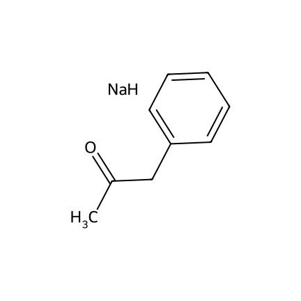 CC(=O)Cc1ccccc1.[NaH]